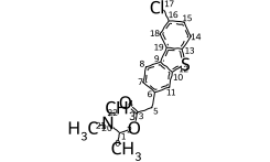 CC(OC(=O)Cc1ccc2c(c1)sc1ccc(Cl)cc12)N(C)C